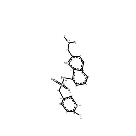 CN(C)Cc1ccc2cccc(NS(=O)(=O)Cc3ccc(Cl)nc3)c2n1